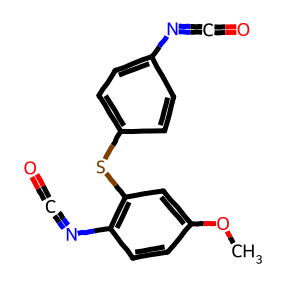 COc1ccc(N=C=O)c(Sc2ccc(N=C=O)cc2)c1